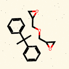 C(OCC1CO1)C1CO1.CC(C)(c1ccccc1)c1ccccc1